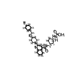 O=C(O)NC[C@H]1CC[C@H](CNC(=O)c2cc(N3CCC(OCc4ccc(F)cc4)CC3)nc3ccccc23)CC1